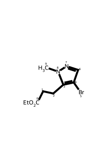 CCOC(=O)CCc1c(Br)cnn1C